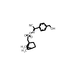 CC1(C)C2CCC1(CS(=O)(=O)O/N=C(\C#N)c1ccc(CO)cc1)CC2